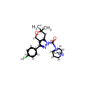 CC1(C)Cc2c(c(-c3ccc(F)cc3)nn2C(=O)N2CCN3CCC2CC3)CO1